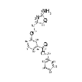 NC1=NC(CCOc2cccc(C(=O)OCc3ccccc3)c2)CO1